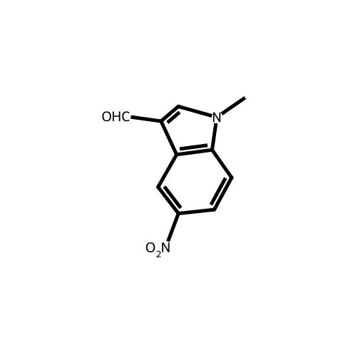 Cn1cc(C=O)c2cc([N+](=O)[O-])ccc21